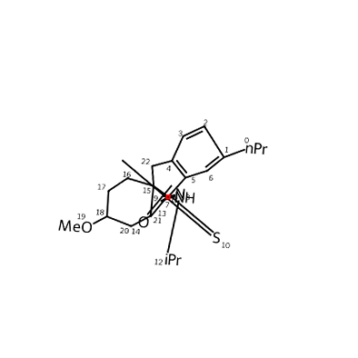 CCCc1ccc2c(c1)C1(NC(=S)N(C(C)C)C1=O)C1(CCC(OC)CC1)C2